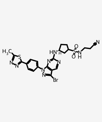 Cc1nnc(-c2ccc(-n3nc(Br)c4cnc(N[C@@H]5CCC(S(=O)(=O)NCCC#N)C5)nc43)cc2)s1